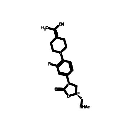 CC(=O)NC[C@H]1CN(c2ccc(N3CCC(=C(C)C#N)CC3)c(F)c2)C(=O)O1